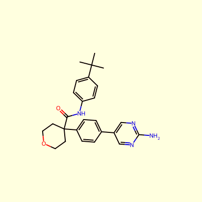 CC(C)(C)c1ccc(NC(=O)C2(c3ccc(-c4cnc(N)nc4)cc3)CCOCC2)cc1